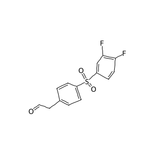 O=CCc1ccc(S(=O)(=O)c2ccc(F)c(F)c2)cc1